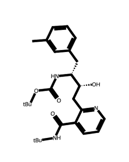 Cc1cccc(C[C@@H](NC(=O)OC(C)(C)C)[C@H](O)Cc2ncccc2C(=O)NC(C)(C)C)c1